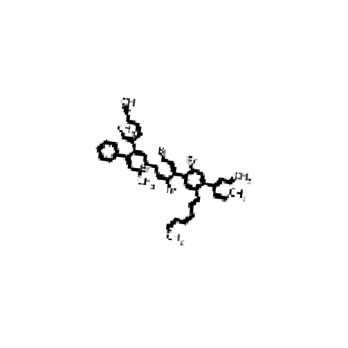 C#CC\C=C/C(=C\C)C(=C/CC/C=C(Br)\C(=C/CBr)c1cc(/C=C/C=C\C=C/C)c(C(/C=C\C)=C/C=C)cc1Br)/C(=C\C(C)Br)c1ccccc1